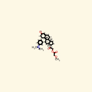 COCC(=O)OCC(=O)[C@H]1CC[C@H]2[C@@H]3CCC4=CC(=O)C[C@@H](c5ccc(N(C)C)cc5)C4=C3CC[C@]12C